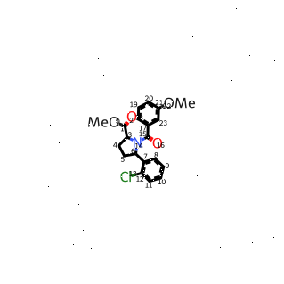 COC(=O)C1CCC(c2ccccc2Cl)N1C(=O)c1cccc(OC)c1